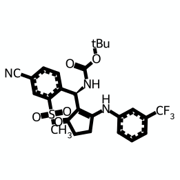 CC(C)(C)OC(=O)N[C@@H](C1=C(Nc2cccc(C(F)(F)F)c2)CCC1=O)c1ccc(C#N)cc1S(C)(=O)=O